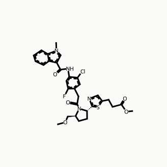 COC[C@@H]1CC[C@@H](c2ncc(CCC(=O)OC)s2)N1C(=O)Cc1cc(Cl)c(NC(=O)c2cn(C)c3ccccc23)cc1F